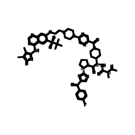 CN[C@@H](C)C(=O)N[C@H](C(=O)N1CCC[C@H]1c1nc(C(=O)c2ccc(F)cc2)cs1)C1CCN(C(=O)c2cnc(N3CCN(CCOc4cc5ncnc(Nc6n[nH]c(C)c6C)c5cc4S(=O)(=O)C(C)(C)C)CC3)cn2)CC1